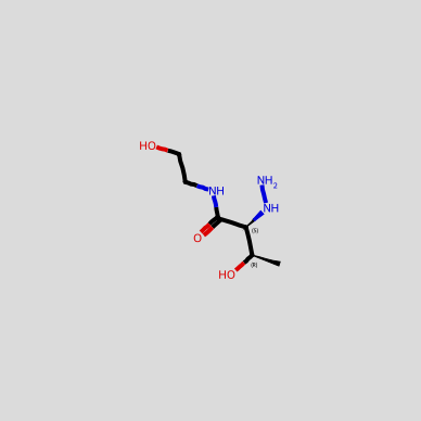 C[C@@H](O)[C@H](NN)C(=O)NCCO